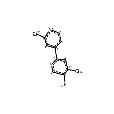 Fc1ccc(-c2ccnc(Cl)c2)cc1Cl